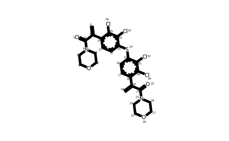 C=C(C(=O)N1CCOCC1)c1ccc(Sc2ccc(C(=C)C(=O)N3CCOCC3)c(Cl)c2Cl)c(Cl)c1Cl